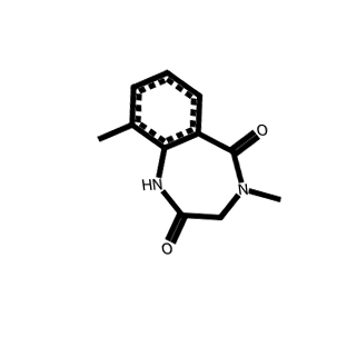 Cc1cccc2c1NC(=O)CN(C)C2=O